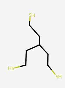 SCC[C](CCS)CCS